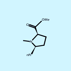 CCC[C@@H]1CC[C@H](C(=O)OC)N1C